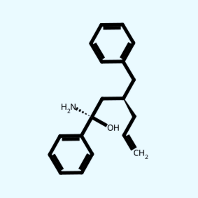 C=CC[C@H](Cc1ccccc1)C[C@@](N)(O)c1ccccc1